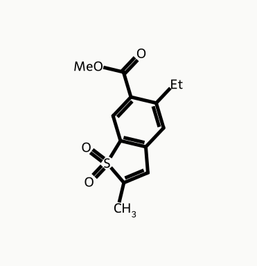 CCc1cc2c(cc1C(=O)OC)S(=O)(=O)C(C)=C2